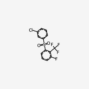 O=S(=O)(c1cccc(Cl)c1)c1cccc(F)c1C(F)(F)F